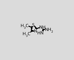 Cc1nc(NC(=N)N)sc1C